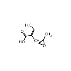 CC1CO1.CC=C(C)C(=O)O